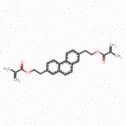 C=C(C)C(=O)OCCc1ccc2c(ccc3cc(CCOC(=O)C(=C)C)ccc32)c1